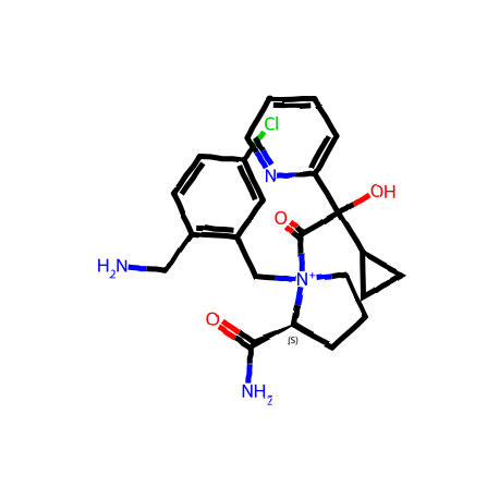 NCc1ccc(Cl)cc1C[N+]1(C(=O)C(O)(c2ccccn2)C2CC2)CCC[C@H]1C(N)=O